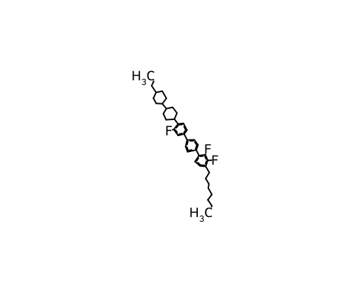 CCCCCCCCc1ccc(-c2ccc(-c3ccc(C4CCC(C5CCC(CCC)CC5)CC4)c(F)c3)cc2)c(F)c1F